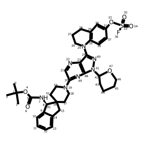 CC(C)(C)OC(=O)N[C@@H]1c2ccccc2CC12CCN(c1cnc3c(N4CCCc5cc(OS(=O)(=O)F)ccc54)nn(C4CCCCO4)c3n1)CC2